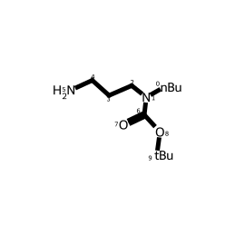 [CH2]CCCN(CCCN)C(=O)OC(C)(C)C